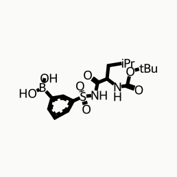 CC(C)CC(NC(=O)OC(C)(C)C)C(=O)NS(=O)(=O)c1cccc(B(O)O)c1